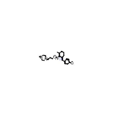 CC1CCCC(=C\c2ccc(Cl)cc2)/C1=N/OCCCN1CCN(C)CC1